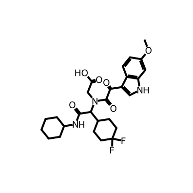 COc1ccc2c(C(=O)C(=O)N(CC(=O)O)C(C(=O)NC3CCCCC3)C3CCC(F)(F)CC3)c[nH]c2c1